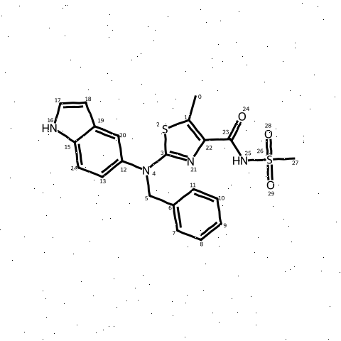 Cc1sc(N(Cc2ccccc2)c2ccc3[nH]ccc3c2)nc1C(=O)NS(C)(=O)=O